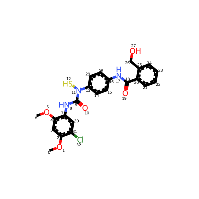 COc1cc(OC)c(NC(=O)N(S)c2ccc(NC(=O)c3ccccc3CO)cc2)cc1Cl